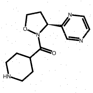 O=C(C1CCNCC1)N1OCC[C@H]1c1cnccn1